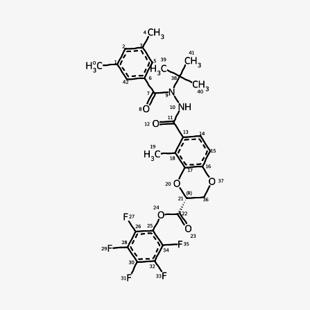 Cc1cc(C)cc(C(=O)N(NC(=O)c2ccc3c(c2C)O[C@@H](C(=O)Oc2c(F)c(F)c(F)c(F)c2F)CO3)C(C)(C)C)c1